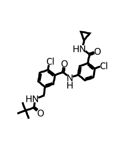 CC(C)(C)C(=O)NCc1ccc(Cl)c(C(=O)Nc2ccc(Cl)c(C(=O)NC3CC3)c2)c1